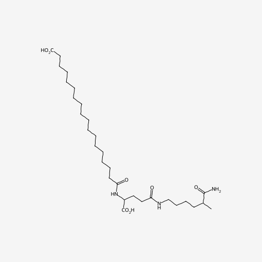 CC(CCCCNC(=O)CCC(NC(=O)CCCCCCCCCCCCCCCCC(=O)O)C(=O)O)C(N)=O